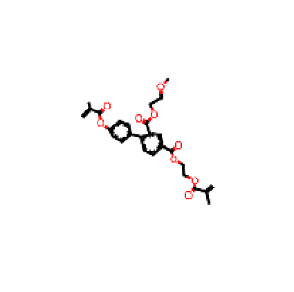 C=C(C)C(=O)OCCOC(=O)c1ccc(-c2ccc(OC(=O)C(=C)C)cc2)c(C(=O)OCCOC)c1